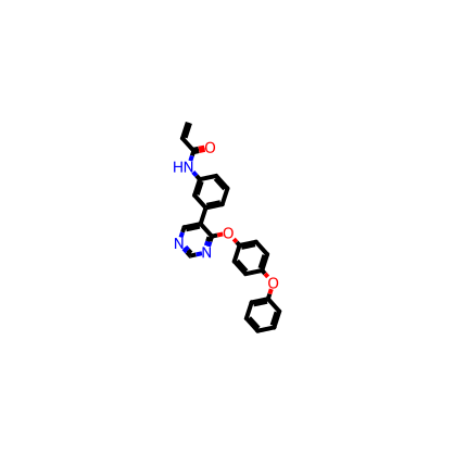 C=CC(=O)Nc1cccc(-c2cncnc2Oc2ccc(Oc3ccccc3)cc2)c1